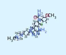 COc1cccc(N(C(N)=O)c2ccc(-c3nn(C4CCC(N5CCN(C)CC5)CC4)c4ncnc(N)c34)cc2F)c1